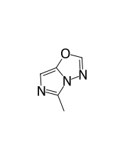 Cc1ncc2ocnn12